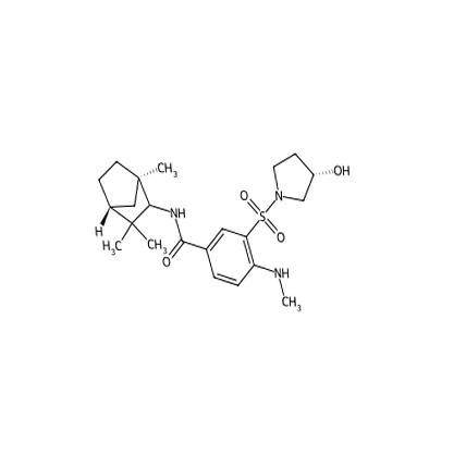 CNc1ccc(C(=O)NC2C(C)(C)[C@@H]3CC[C@]2(C)C3)cc1S(=O)(=O)N1CC[C@H](O)C1